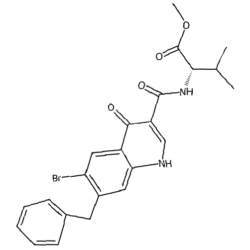 COC(=O)[C@@H](NC(=O)c1c[nH]c2cc(Cc3ccccc3)c(Br)cc2c1=O)C(C)C